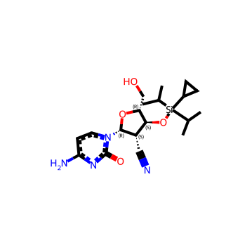 CC(C)[Si](O[C@H]1[C@H](C#N)[C@H](n2ccc(N)nc2=O)O[C@@H]1CO)(C(C)C)C1CC1